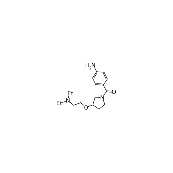 CCN(CC)CCOC1CCN(C(=O)c2ccc(N)cc2)C1